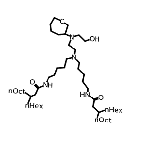 CCCCCCCCC(CCCCCC)CC(=O)NCCCCCN(CCCCCNC(=O)CC(CCCCCC)CCCCCCCC)CCN(CCO)C1CCCCCC1